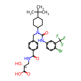 CC(C)(C)C1CCC(N(Cc2ccc(C(=O)NC[C@@H](O)C(=O)O)cc2)C(=O)Nc2ccc(Br)c(C(F)(F)F)c2)CC1